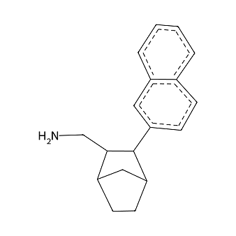 NCC1C2CCC(C2)C1c1ccc2ccccc2c1